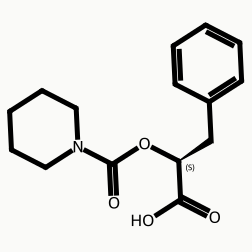 O=C(O)[C@H](Cc1ccccc1)OC(=O)N1CCCCC1